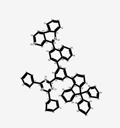 c1ccc(-c2nc(-c3ccccc3)nc(-c3cc(-c4cccc5c4-c4ccccc4C5(c4ccccc4)c4ccccc4)cc(-c4ccc(-c5nc6ccccc6c6ccncc56)c5ccccc45)c3)n2)cc1